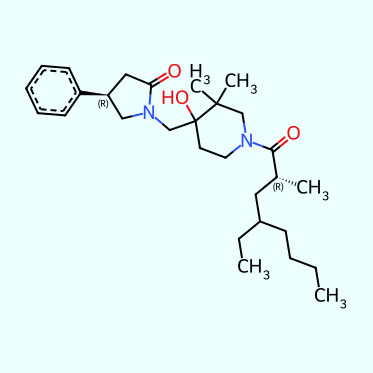 CCCCC(CC)C[C@@H](C)C(=O)N1CCC(O)(CN2C[C@@H](c3ccccc3)CC2=O)C(C)(C)C1